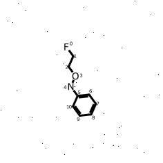 FCCO[N]c1ccccc1